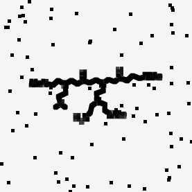 CNCCCNCCN(CCNCCN(CCNC)CCN(C)C)CCN(CCN)CCNC